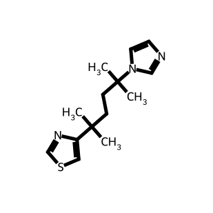 CC(C)(CCC(C)(C)n1ccnc1)c1cscn1